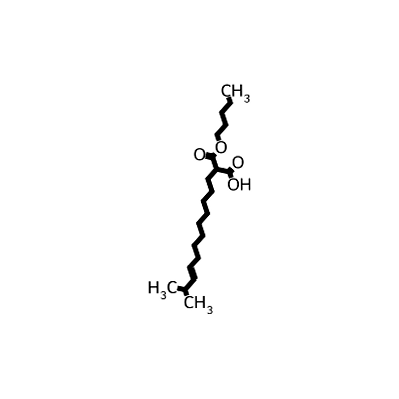 CCCCCOC(=O)C(CCCCCCCCC=CC(C)C)C(=O)O